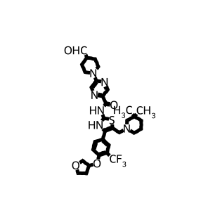 CC1(C)CCCN(CC2=C(c3ccc(OC4CCOC4)c(C(F)(F)F)c3)NC(NC(=O)c3cnc(N4CCC(C=O)CC4)cn3)S2)C1